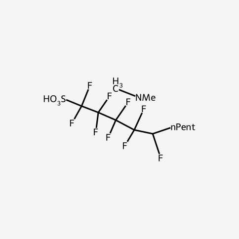 CCCCCC(F)C(F)(F)C(F)(F)C(F)(F)C(F)(F)S(=O)(=O)O.CNC